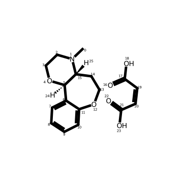 CN1CCO[C@@H]2c3ccccc3OCC[C@H]21.O=C(O)/C=C\C(=O)O